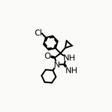 N=C1NC(c2ccc(Cl)cc2)(C2CC2)C(=O)N1C1CCCCC1